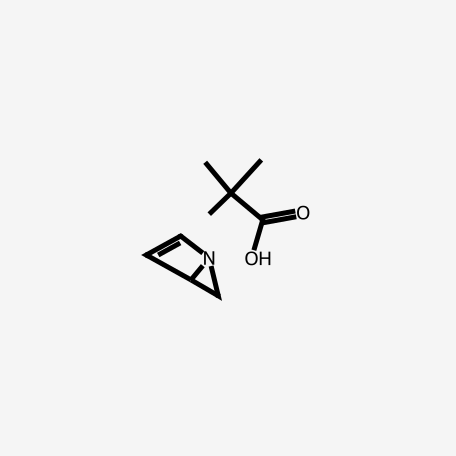 C1=CN2CC12.CC(C)(C)C(=O)O